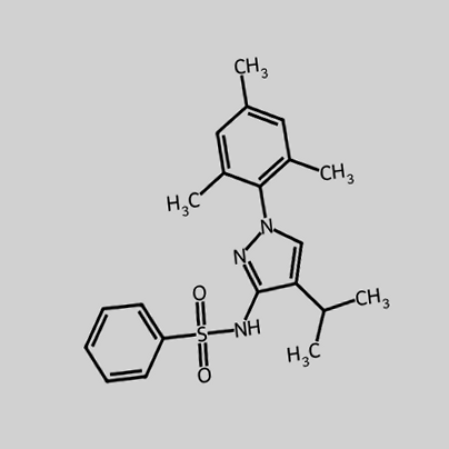 Cc1cc(C)c(-n2cc(C(C)C)c(NS(=O)(=O)c3ccccc3)n2)c(C)c1